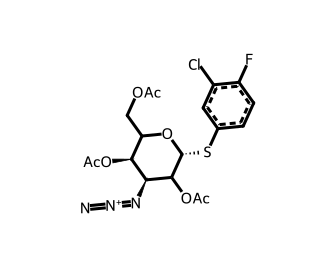 CC(=O)OCC1O[C@H](Sc2ccc(F)c(Cl)c2)C(OC(C)=O)[C@@H](N=[N+]=[N-])[C@H]1OC(C)=O